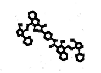 [C-]#[N+]c1cnn(-c2ncccn2)c1/N=N/c1c(O)c(C(=O)Nc2ccc(NC(=O)c3cc4ccccc4c(/N=N/c4c(C#N)cnn4-c4ncccn4)c3O)cc2)cc2ccccc12